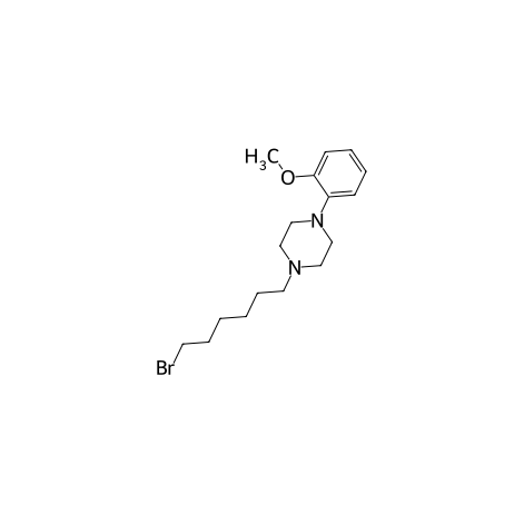 COc1ccccc1N1CCN(CCCCCCBr)CC1